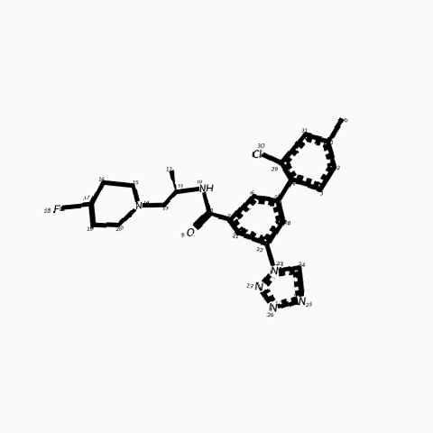 Cc1ccc(-c2cc(C(=O)N[C@H](C)CN3CCC(F)CC3)cc(-n3cnnn3)c2)c(Cl)c1